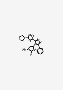 N#CN1C=C2N(c3ccccc3-c3nnc(-c4nc(C5CCCC5)no4)n32)C1F